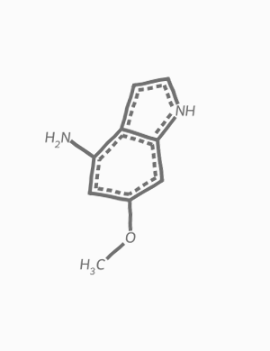 COc1cc(N)c2cc[nH]c2c1